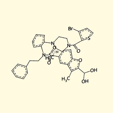 Cc1c(C(O)O)oc2ccc(S(=O)(=O)N(CCc3ccccc3)c3ccccc3N3CCN(C(=O)c4sccc4Br)C[C@@H]3C)cc12